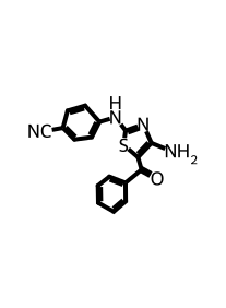 N#Cc1ccc(Nc2nc(N)c(C(=O)c3ccccc3)s2)cc1